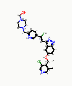 Cc1cncc(Cl)c1[C@@H](C)Oc1ccc2[nH]nc(/C=C(\F)c3ccc(CN4CCN(CO)CC4)nc3)c2c1